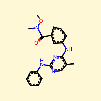 CON(C)C(=O)c1cccc(Nc2nc(Nc3ccccc3)ncc2C)c1